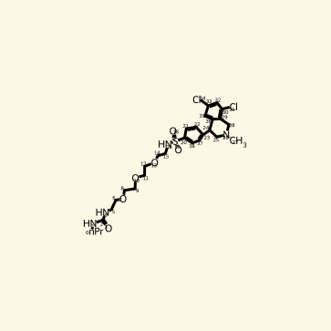 CCCNC(=O)NCCOCCOCCOCCNS(=O)(=O)c1ccc(C2CN(C)Cc3c(Cl)cc(Cl)cc32)cc1